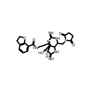 N=C1NC2C(CN3C(=O)CCC3=O)NC(=N)N3CC(NC(=O)c4cccc5c4OCC5)C(O)(O)C23N1